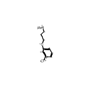 CNCCCOc1cccc(Cl)c1